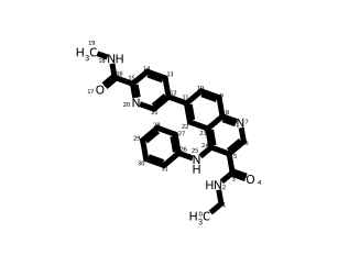 CCNC(=O)c1cnc2ccc(-c3ccc(C(=O)NC)nc3)cc2c1Nc1ccccc1